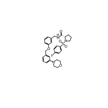 O=C(NCc1cccc(OCc2cccc(N3CCOCC3)c2)c1)[C@@H]1CCCN1S(=O)(=O)c1ccc(F)cc1